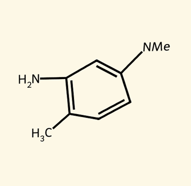 CNc1ccc(C)c(N)c1